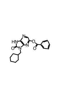 O=C(Oc1cnc2[nH]c(=O)n(CC3CCCCC3)c2n1)c1ccccc1